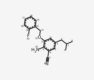 CC(C)Cc1cc(C#N)c(N)c(OCc2ccccc2F)c1